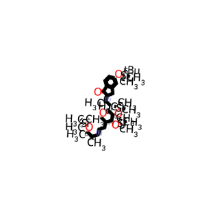 C/C(C[C@@H]1OCC(C/C=C/[C@@H](C)[C@H](C)O[Si](C)(C)C)[C@@H](O[Si](C)(C)C)[C@@H]1O[Si](C)(C)C)=C1/Cc2cc(O[Si](C)(C)C(C)(C)C)ccc2C1=O